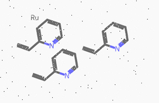 C=Cc1ccccn1.C=Cc1ccccn1.C=Cc1ccccn1.[Ru]